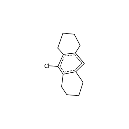 Clc1c2c(cc3c1CCCC3)CCCC2